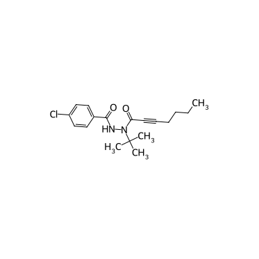 CCCCC#CC(=O)N(NC(=O)c1ccc(Cl)cc1)C(C)(C)C